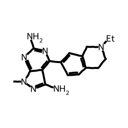 CCN1CCc2ccc(-c3nc(N)nc4c3c(N)nn4C)cc2C1